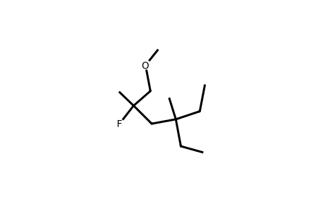 CCC(C)(CC)CC(C)(F)COC